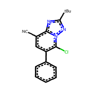 CC(C)(C)c1nc2c(C#N)cc(-c3ccccc3)c(Cl)n2n1